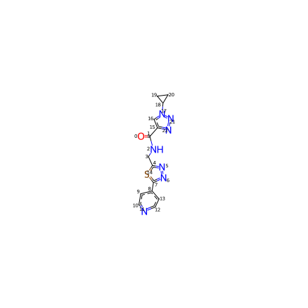 O=C(NCc1nnc(-c2ccncc2)s1)c1cn(C2CC2)nn1